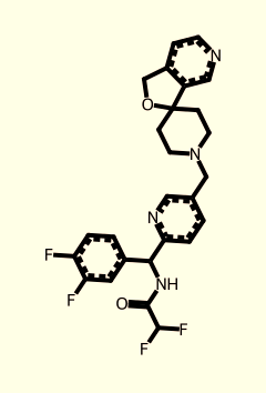 O=C(NC(c1ccc(F)c(F)c1)c1ccc(CN2CCC3(CC2)OCc2ccncc23)cn1)C(F)F